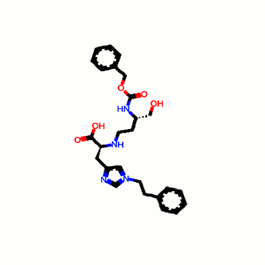 O=C(N[C@H](CO)CCN[C@@H](Cc1cn(CCc2ccccc2)cn1)C(=O)O)OCc1ccccc1